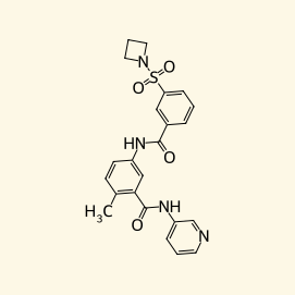 Cc1ccc(NC(=O)c2cccc(S(=O)(=O)N3CCC3)c2)cc1C(=O)Nc1cccnc1